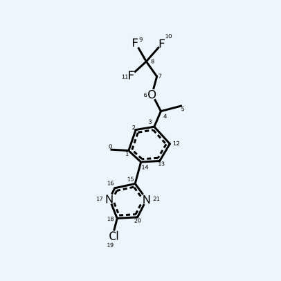 Cc1cc(C(C)OCC(F)(F)F)ccc1-c1cnc(Cl)cn1